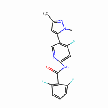 Cn1nc(C(F)(F)F)cc1-c1cnc(NC(=O)c2c(F)cccc2F)cc1F